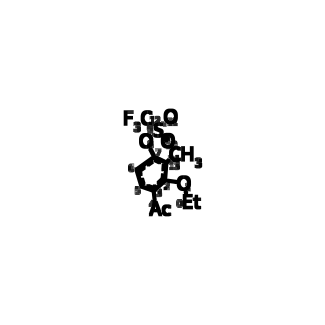 CCOc1c(C(C)=O)ccc(OS(=O)(=O)C(F)(F)F)c1C